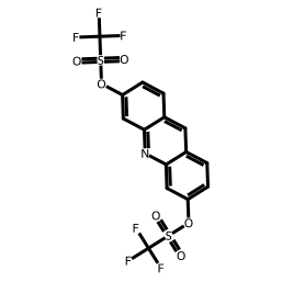 O=S(=O)(Oc1ccc2cc3ccc(OS(=O)(=O)C(F)(F)F)cc3nc2c1)C(F)(F)F